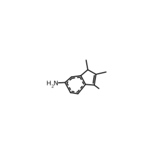 CC1=C(C)C(C)c2cc(N)ccc21